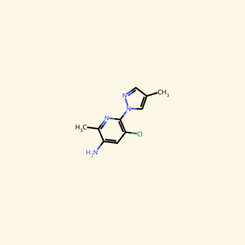 Cc1cnn(-c2nc(C)c(N)cc2Cl)c1